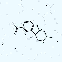 C[C@H]1CN(C)CC[C@@]1(C)c1cccc(C(N)=O)c1